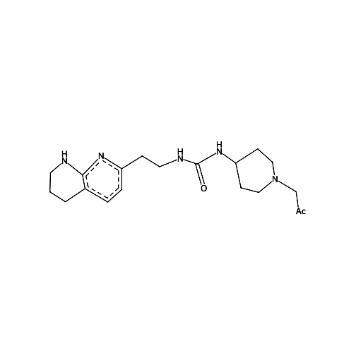 CC(=O)CN1CCC(NC(=O)NCCc2ccc3c(n2)NCCC3)CC1